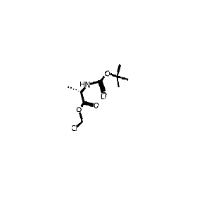 C[C@H](NC(=O)OC(C)(C)C)C(=O)OCCl